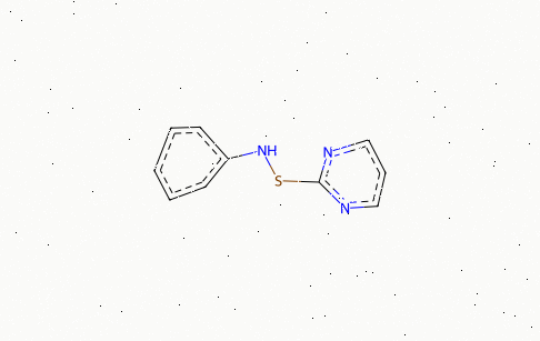 c1ccc(NSc2ncccn2)cc1